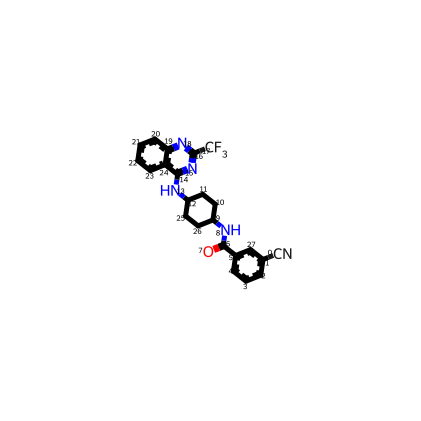 N#Cc1cccc(C(=O)NC2CCC(Nc3nc(C(F)(F)F)nc4ccccc34)CC2)c1